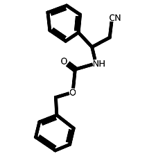 N#CCC(NC(=O)OCc1ccccc1)c1ccccc1